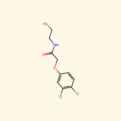 O=C(COc1ccc(Cl)c(Cl)c1)NCCS